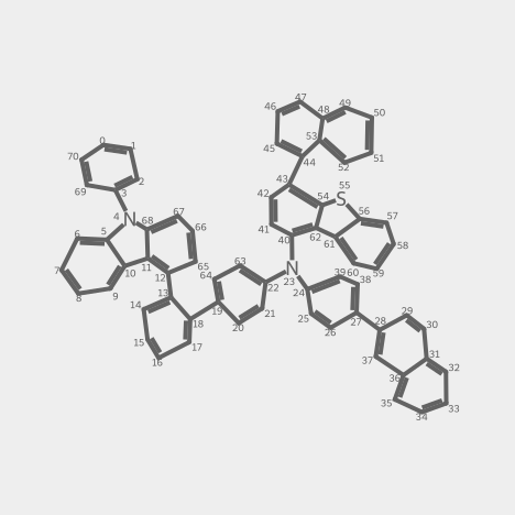 c1ccc(-n2c3ccccc3c3c(-c4ccccc4-c4ccc(N(c5ccc(-c6ccc7ccccc7c6)cc5)c5ccc(-c6cccc7ccccc67)c6sc7ccccc7c56)cc4)cccc32)cc1